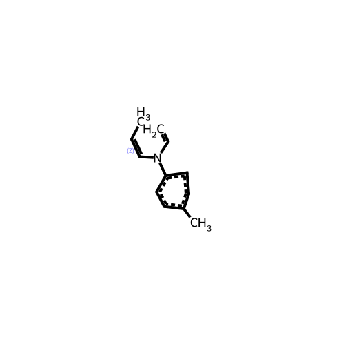 C=CN(/C=C\C)c1ccc(C)cc1